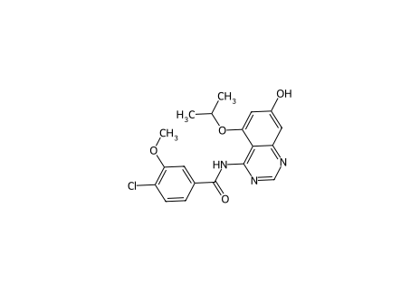 COc1cc(C(=O)Nc2ncnc3cc(O)cc(OC(C)C)c23)ccc1Cl